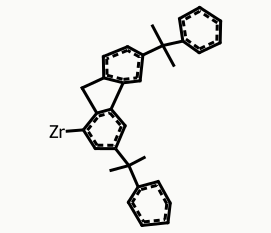 CC(C)(c1ccccc1)c1ccc2c(c1)-c1cc(C(C)(C)c3ccccc3)c[c]([Zr])c1C2